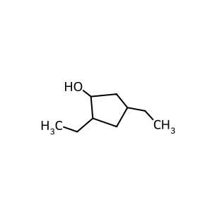 CCC1CC(O)C(CC)C1